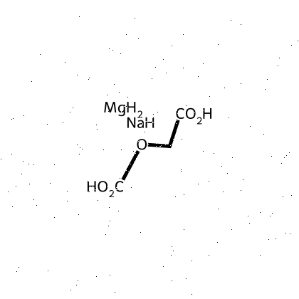 O=C(O)COC(=O)O.[MgH2].[NaH]